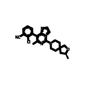 Cc1nc(N2CCC3(CC2)CO[C@@H](C)C3)n2ccnc2c1-c1cccc(C#N)c1Cl